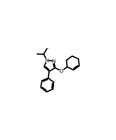 [CH2]C(C)n1cc(-c2ccccc2)c(OC2C=CCCC2)n1